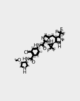 CO[C@H]1CNC[C@@H]1NC(=O)c1ccc(NC(=O)c2ncc(Cc3c(C(F)(F)F)n[nH]c3[C@@H]3CC3(F)F)[nH]2)cc1Cl